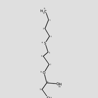 CCCCSCCCOC(O)CC